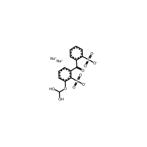 O=C(c1ccccc1S(=O)(=O)[O-])c1cccc(OC(O)O)c1S(=O)(=O)[O-].[Na+].[Na+]